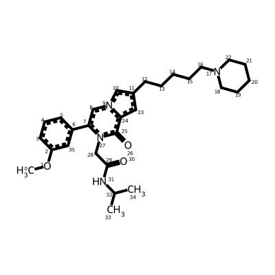 COc1cccc(-c2cn3cc(CCCCCN4CCCCC4)cc3c(=O)n2CC(=O)NC(C)C)c1